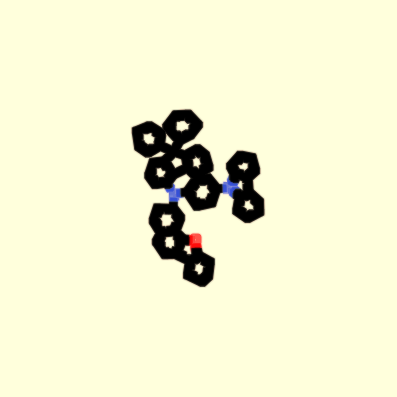 c1ccc(C2(c3ccccc3)c3ccccc3-c3c(N(c4ccc(-n5c6ccccc6c6ccccc65)cc4)c4ccc5ccc6c7ccccc7oc6c5c4)cccc32)cc1